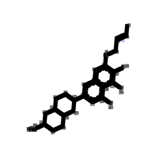 C/C=C/COc1cc2cc(C3CCC4CC(CCCC)CCC4C3)cc(F)c2c(F)c1F